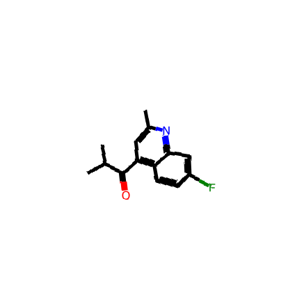 Cc1cc(C(=O)C(C)C)c2ccc(F)cc2n1